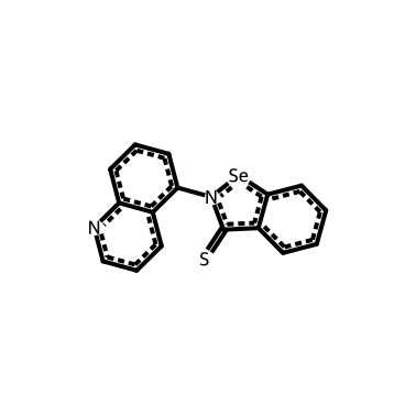 S=c1c2ccccc2[se]n1-c1cccc2ncccc12